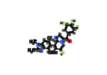 COc1c(-c2cc(F)cn3c(C(=O)c4cc(F)c(F)c(F)c4)cnc23)c(C(F)(F)F)cc2c1nc(C)n2C